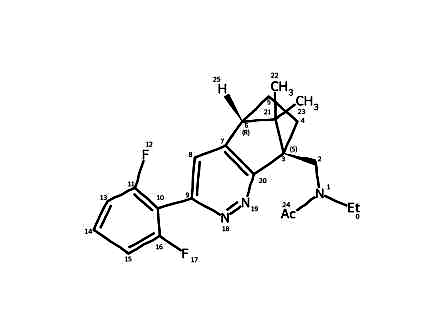 CCN(C[C@@]12CC[C@@H](c3cc(-c4c(F)cccc4F)nnc31)C2(C)C)C(C)=O